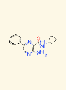 Nc1ncc(-c2ccccc2)nc1C(=O)NC1CCCC1